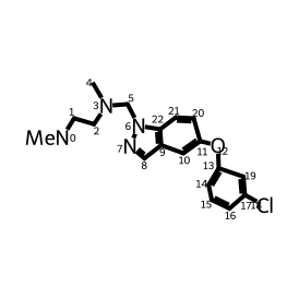 CNCCN(C)Cn1ncc2cc(Oc3cccc(Cl)c3)ccc21